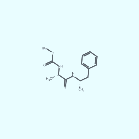 C[C@H](NC(=O)OC(C)(C)C)C(=O)N[C@@H](C)Cc1ccccc1